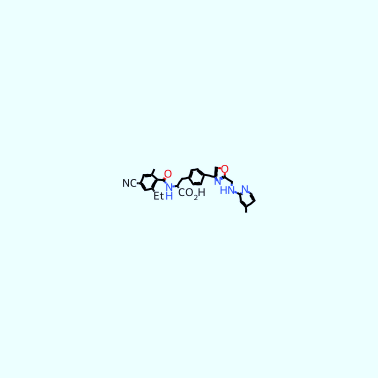 CCc1cc(C#N)cc(C)c1C(=O)NC(Cc1ccc(-c2coc(CNc3cc(C)ccn3)n2)cc1)C(=O)O